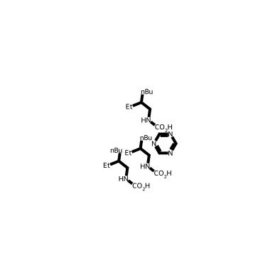 CCCCC(CC)CNC(=O)O.CCCCC(CC)CNC(=O)O.CCCCC(CC)CNC(=O)O.c1ncncn1